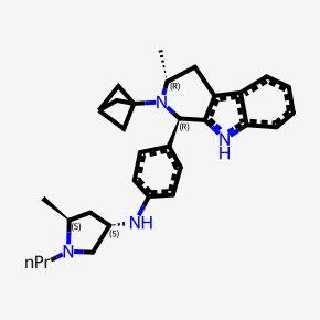 CCCN1C[C@@H](Nc2ccc([C@@H]3c4[nH]c5ccccc5c4C[C@@H](C)N3C34CC(C3)C4)cc2)C[C@@H]1C